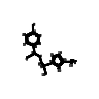 Cc1ccc(C(C)CCC(C)c2ccc(C(C)C)s2)cc1